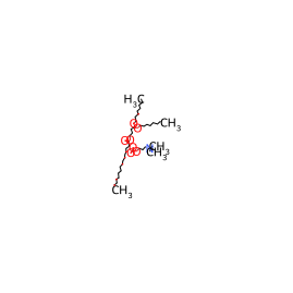 CCCCCCCCCCCCC(CCC(=O)OCCCC(OCCCCCCCC)OCCCCCCCC)OC(=O)OCCCN(C)C